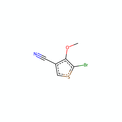 COc1c(C#N)csc1Br